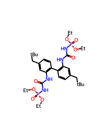 CCOP(=O)(NC(=O)Nc1cc(CC(C)(C)C)ccc1-c1ccc(CC(C)(C)C)cc1NC(=O)NP(=O)(OCC)OCC)OCC